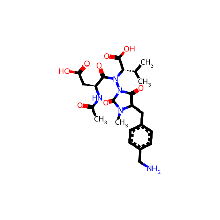 CC(=O)N[C@@H](CC(=O)O)C(=O)N([C@H](C(=O)O)C(C)C)N1C(=O)C(Cc2ccc(CN)cc2)N(C)C1=O